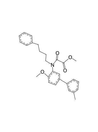 COC(=O)C(=O)N(CCCCc1ccccc1)c1cc(-c2cccc(C)c2)ccc1OC